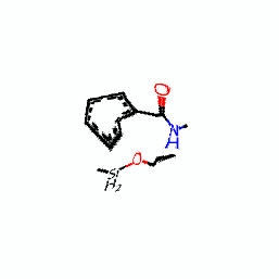 CCO[SiH2]C.CNC(=O)c1ccccc1